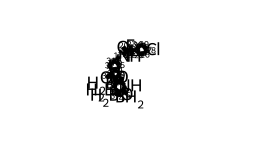 BC1C(B)(B)C(=O)NC(=O)C1(B)N1Cc2cc(CNC(=O)C(F)(F)c3ccc(Cl)cc3)ccc2C1=O